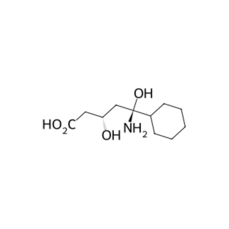 N[C@](O)(C[C@H](O)CC(=O)O)C1CCCCC1